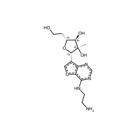 C[C@@]1(O)[C@H](O)[C@@H](CCO)O[C@H]1c1coc2c(NCCN)ncnc12